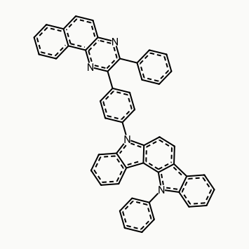 c1ccc(-c2nc3ccc4ccccc4c3nc2-c2ccc(-n3c4ccccc4c4c3ccc3c5ccccc5n(-c5ccccc5)c34)cc2)cc1